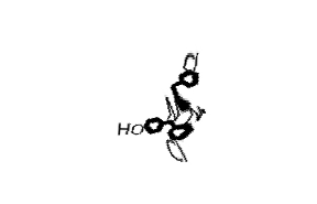 CN1C=C(Cc2cccc(Cl)c2)N=C(c2ccc(O)cc2)c2cc(Cl)ccc21